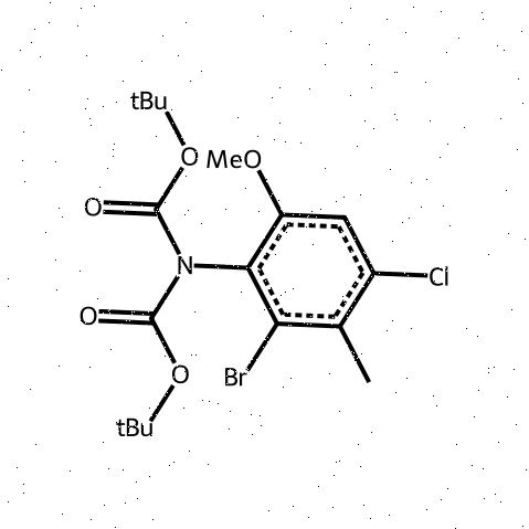 COc1cc(Cl)c(C)c(Br)c1N(C(=O)OC(C)(C)C)C(=O)OC(C)(C)C